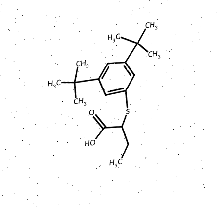 CCC(Sc1cc(C(C)(C)C)cc(C(C)(C)C)c1)C(=O)O